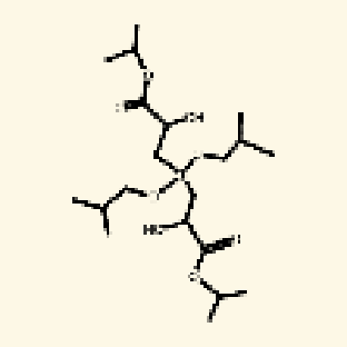 CC(C)C[O][Ti]([CH2]C(O)C(=O)OC(C)C)([CH2]C(O)C(=O)OC(C)C)[O]CC(C)C